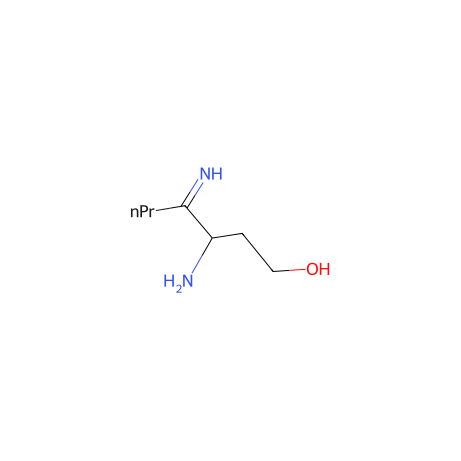 CCCC(=N)C(N)CCO